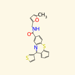 Cc1ccc(CNC(=O)c2ccc3c(c2)N=C(c2ccsc2)c2ccccc2S3)o1